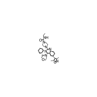 CCNC(=O)N1CCN(c2nc(N3CCOC[C@@H]3c3ccccc3)c3cc(-c4c(C)noc4C)ccc3n2)CC1